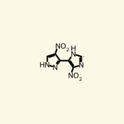 O=[N+]([O-])c1c[nH]nc1-c1[nH][c]nc1[N+](=O)[O-]